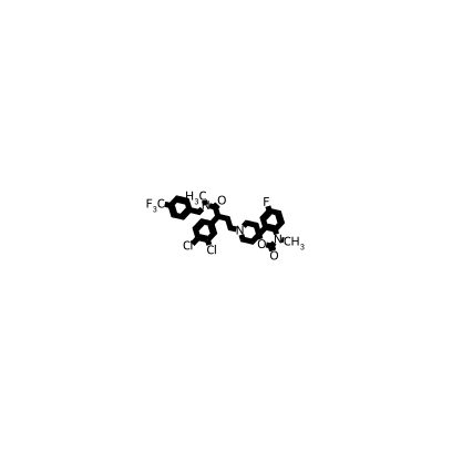 CN(Cc1ccc(C(F)(F)F)cc1)C(=O)C(CCN1CCC2(CC1)OC(=O)N(C)c1ccc(F)cc12)c1ccc(Cl)c(Cl)c1